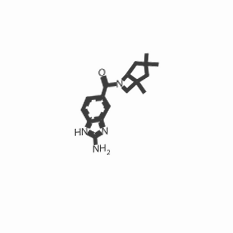 CC1(C)CC2N(C(=O)c3ccc4[nH]c(N)nc4c3)CC2(C)C1